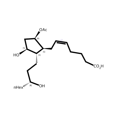 CCCCCC[C@@H](O)CC[C@H]1[C@H](C/C=C\CCCC(=O)O)[C@H](OC(C)=O)C[C@@H]1O